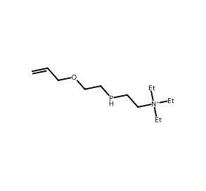 C=CCOCCPCC[N+](CC)(CC)CC